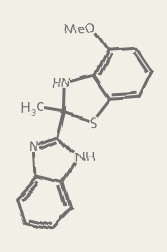 COc1cccc2c1NC(C)(c1nc3ccccc3[nH]1)S2